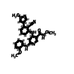 CONC(=O)c1cnc(Nc2cccnc2OC)cc1Nc1cccc(-c2cnn(C)c2)c1C#N